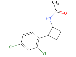 CC(=O)N[C@@H]1CCC1c1ccc(Cl)cc1Cl